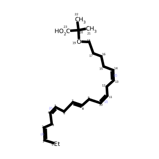 CC/C=C\C/C=C\CC=CC/C=C\C/C=C\CCCCOC(C)(C)C(=O)O